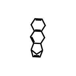 C1=CCC2=C(C=C3C4C=CC(C4)C3C2)C1